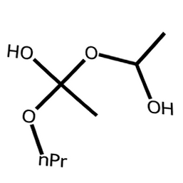 CCCOC(C)(O)OC(C)O